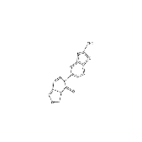 O=Cc1cc2cc(C3C=CC4=COCC4C3=O)ccc2o1